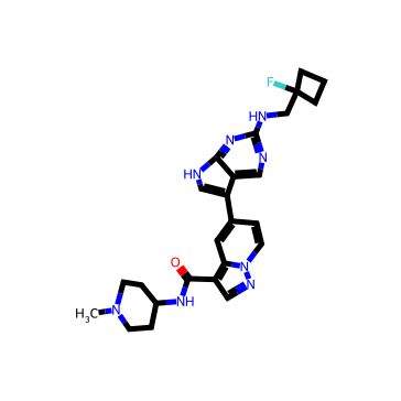 CN1CCC(NC(=O)c2cnn3ccc(-c4c[nH]c5nc(NCC6(F)CCC6)ncc45)cc23)CC1